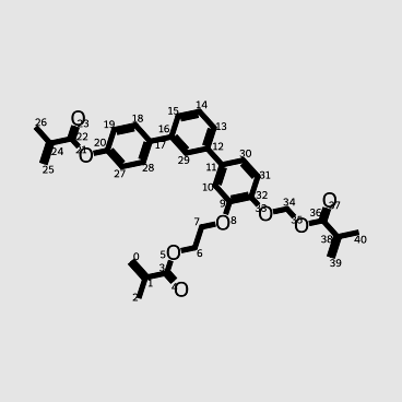 C=C(C)C(=O)OCCOc1cc(-c2cccc(-c3ccc(OC(=O)C(=C)C)cc3)c2)ccc1OCOC(=O)C(=C)C